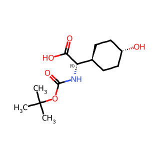 CC(C)(C)OC(=O)N[C@H](C(=O)O)[C@H]1CC[C@H](O)CC1